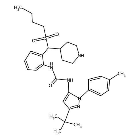 CCCCS(=O)(=O)C(c1ccccc1NC(=O)Nc1cc(C(C)(C)C)nn1-c1ccc(C)cc1)C1CCNCC1